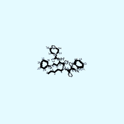 CCCCCN(C(=O)c1nc2ccccc2o1)C(=O)C(CCSc1ccccc1)NC(=O)N1CCOCC1